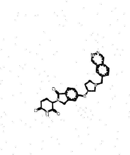 O=C1CCC(N2Cc3cc(O[C@H]4CCN(Cc5ccc6cnncc6c5)C4)ccc3C2=O)C(=O)N1